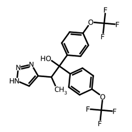 CC(c1c[nH]nn1)C(O)(c1ccc(OC(F)(F)F)cc1)c1ccc(OC(F)(F)F)cc1